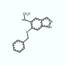 O=C(O)Nc1cc2cn[nH]c2cc1OCc1ccccc1